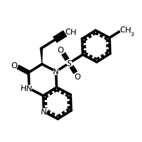 C#CC[C@@H]1C(=O)Nc2ncccc2N1S(=O)(=O)c1ccc(C)cc1